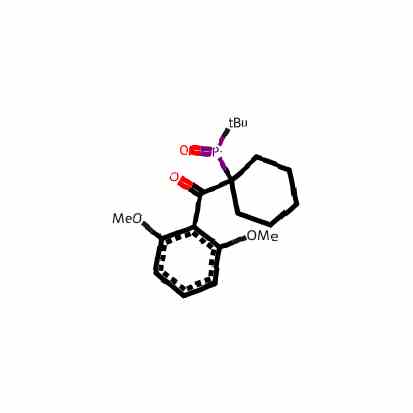 COc1cccc(OC)c1C(=O)C1([P](=O)C(C)(C)C)CCCCC1